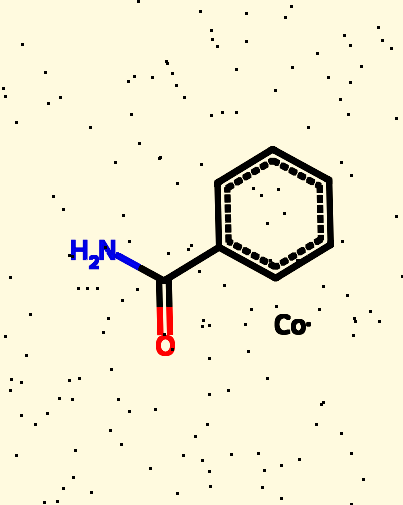 NC(=O)c1ccccc1.[Co]